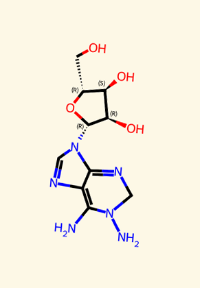 NC1=c2ncn([C@@H]3O[C@H](CO)[C@@H](O)[C@H]3O)c2=NCN1N